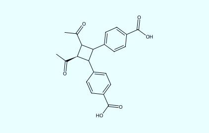 CC(=O)C1C(c2ccc(C(=O)O)cc2)C(c2ccc(C(=O)O)cc2)[C@H]1C(C)=O